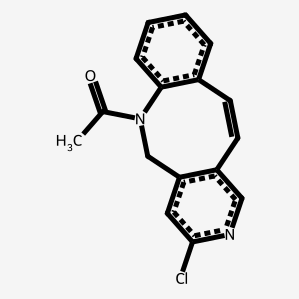 CC(=O)N1Cc2cc(Cl)ncc2C=Cc2ccccc21